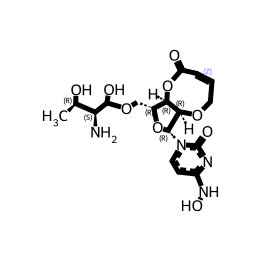 C[C@@H](O)[C@H](N)C(O)OC[C@H]1O[C@@H](n2ccc(NO)nc2=O)[C@@H]2OC/C=C\C(=O)O[C@@H]21